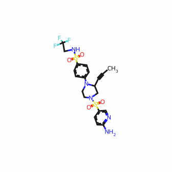 CC#CC1CN(S(=O)(=O)c2ccc(N)nc2)CCN1c1ccc(S(=O)(=O)NCC(F)(F)F)cc1